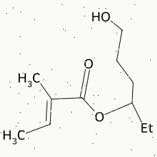 CC=C(C)C(=O)OC(CC)CCCO